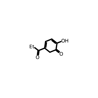 CCC(=O)C1=CC=C(O)C(=O)C1